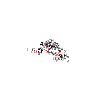 COc1ccc(COC(C/C=C/COC(=O)C(C)(C)C)C(/C=C/C2CC(C)=CCO2)O[Si](C)(C)C(C)(C)C)cc1